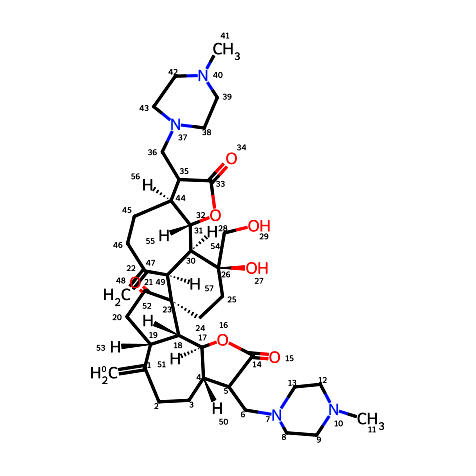 C=C1CC[C@H]2C(CN3CCN(C)CC3)C(=O)O[C@@H]2[C@@H]2[C@H]1CC(=O)[C@]21CC[C@@](O)(CO)[C@@H]2[C@H]3OC(=O)C(CN4CCN(C)CC4)[C@@H]3CCC(=C)[C@@H]21